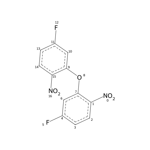 O=[N+]([O-])c1ccc(F)cc1Oc1cc(F)ccc1[N+](=O)[O-]